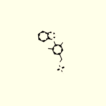 NS(=O)(=O)NCc1cc(F)c(-n2nnc3ccccc32)c(F)c1